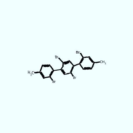 Cc1ccc(-c2cc(Br)c(-c3ccc(C)cc3Br)cc2Br)c(Br)c1